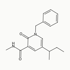 CCC(C)c1cc(C(=O)NC)c(=O)n(Cc2ccccc2)c1